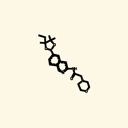 CCC1(C)OB(c2ccc3cnc(NC(=O)CN4CCOCC4)cc3c2)OC1(C)C